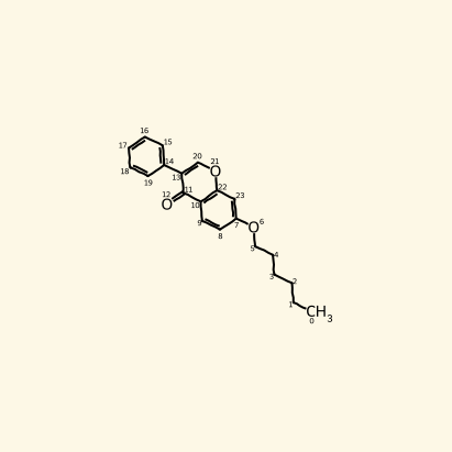 CCCCCCOc1ccc2c(=O)c(-c3ccccc3)coc2c1